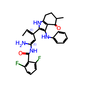 C/C=C(\C=C(/N)NC(=O)c1c(F)cccc1F)c1[nH]c2c(c1Nc1ccccc1)C(=O)C(C)CC2